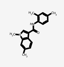 Cc1ccc(NC(=O)c2cn(C)c3cc(C)ccc23)c(C)c1